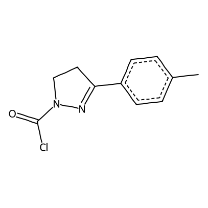 Cc1ccc(C2=NN(C(=O)Cl)CC2)cc1